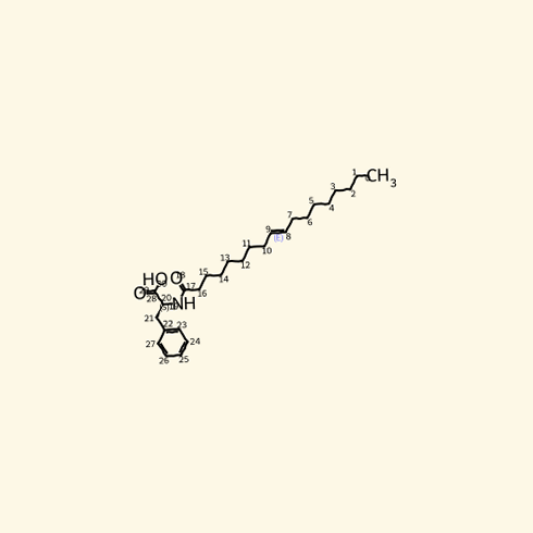 CCCCCCCC/C=C/CCCCCCCC(=O)N[C@@H](Cc1ccccc1)C(=O)O